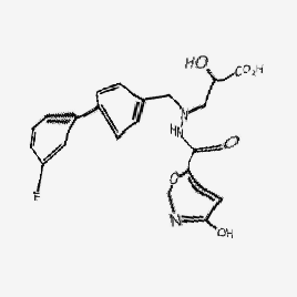 O=C(NN(Cc1ccc(-c2cccc(F)c2)cc1)CC(O)C(=O)O)c1cc(O)no1